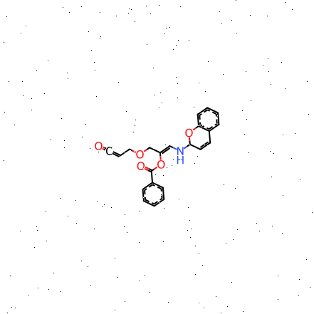 O=C=CCOCC(=CNC1C=Cc2ccccc2O1)OC(=O)c1ccccc1